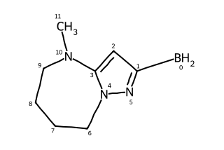 Bc1cc2n(n1)CCCCN2C